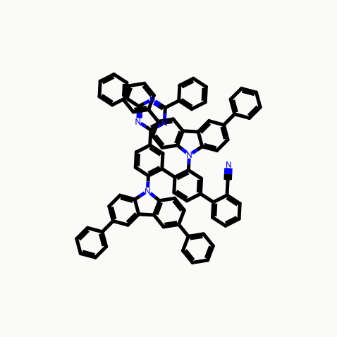 N#Cc1ccccc1-c1ccc(-c2cc(-c3nc(-c4ccccc4)nc(-c4ccccc4)n3)ccc2-n2c3ccc(-c4ccccc4)cc3c3cc(-c4ccccc4)ccc32)c(-n2c3ccc(-c4ccccc4)cc3c3cc(-c4ccccc4)ccc32)c1